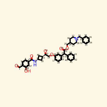 O=Cc1ccc(C(=O)N[C@H]2C[C@H](C(=O)COc3cccc(C(C(=O)OCC4CCN(Cc5ccccc5)CC4)c4ccccc4)c3)C2)cc1O